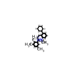 C=C(/C=C\c1c(NC)cccc1C1CCCCC1)c1cc(C)cc(C)c1C